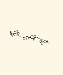 C=C1CC(CCCCOc2ccc(-c3ccc(OCCCCC4CC(C)(C)C(=O)O4)cc3)cc2F)OC1=O